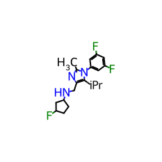 Cc1nc(CNC2CCC(F)C2)c(C(C)C)n1-c1cc(F)cc(F)c1